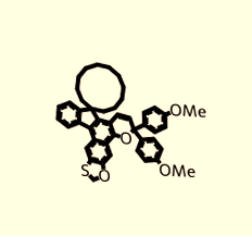 COc1ccc(C2(c3ccc(OC)cc3)C=Cc3c4c(c5cc6c(cc5c3O2)OCS6)-c2ccccc2C42CCCCCCCCCCC2)cc1